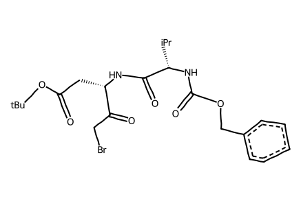 CC(C)[C@H](NC(=O)OCc1ccccc1)C(=O)N[C@@H](CC(=O)OC(C)(C)C)C(=O)CBr